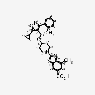 Cc1ccccc1-c1noc(C2CC2)c1COC1CCN(c2nc3c(C)cc(C(=O)O)cc3s2)CC1